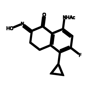 CC(=O)Nc1cc(F)c(C2CC2)c2c1C(=O)C(=NO)CC2